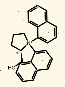 OC[C@H]1CCC[N+]1(c1cccc2ccccc12)c1cccc2ccccc12